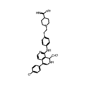 CCCC(=N)C1CCN(CCc2ccc(Nc3nccc4c3C(C=O)NC=C4c3ccc(Cl)cc3)cc2)CC1